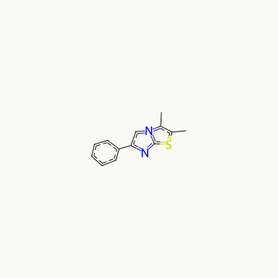 Cc1sc2nc(-c3ccccc3)cn2c1C